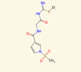 CCSC(=N)NC(=O)CNC(=O)c1ccn(S(C)(=O)=O)c1